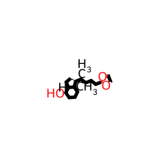 C[C@H](CCCC1OCCO1)[C@H]1CC[C@H]2[C@@H](O)CCC[C@]12C